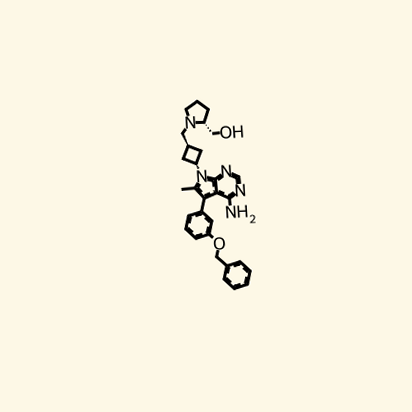 Cc1c(-c2cccc(OCc3ccccc3)c2)c2c(N)ncnc2n1[C@H]1C[C@H](CN2CCC[C@@H]2CO)C1